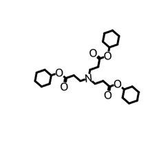 O=C(CCN(CCC(=O)OC1CCCCC1)CCC(=O)OC1CCCCC1)OC1CCCCC1